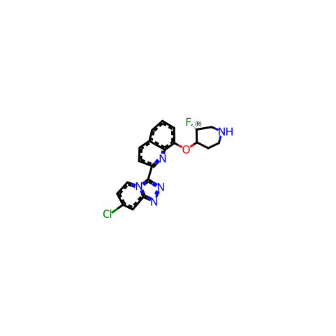 F[C@@H]1CNCCC1Oc1cccc2ccc(-c3nnc4cc(Cl)ccn34)nc12